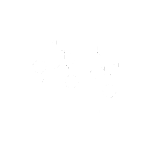 COC(=O)N[C@H](C(=O)Nc1cccc(F)c1CC[C@H]1CNC[C@H](C)N1S(=O)(=O)c1ccc(OC)cc1)C(c1cccc(Cl)c1)C(C)C